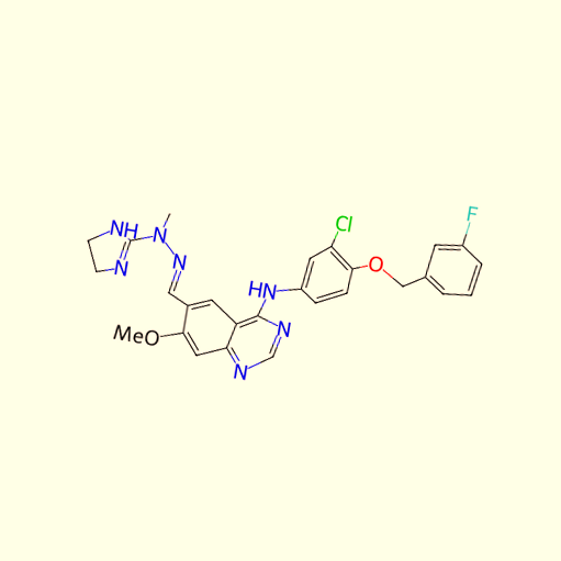 COc1cc2ncnc(Nc3ccc(OCc4cccc(F)c4)c(Cl)c3)c2cc1/C=N/N(C)C1=NCCN1